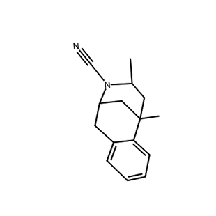 CC1CC2(C)CC(Cc3ccccc32)N1C#N